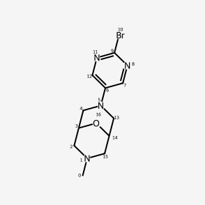 CN1CC2CN(c3cnc(Br)nc3)CC(C1)O2